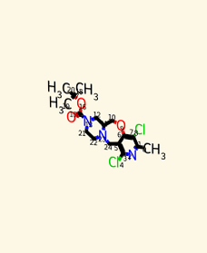 Cc1nc(Cl)c2c(c1Cl)OCC1CN(C(=O)OC(C)(C)C)CCN1C2